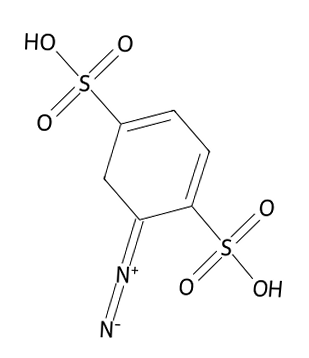 [N-]=[N+]=C1CC(S(=O)(=O)O)=CC=C1S(=O)(=O)O